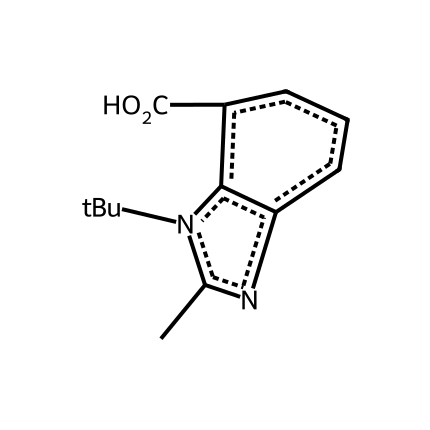 Cc1nc2cccc(C(=O)O)c2n1C(C)(C)C